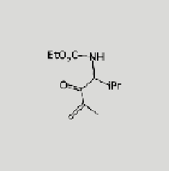 C=C(C)C(=O)C(NC(=O)OCC)C(C)C